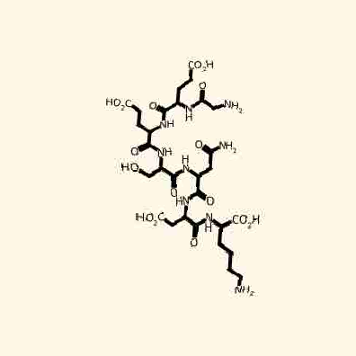 NCCCCC(NC(=O)C(CC(=O)O)NC(=O)C(CC(N)=O)NC(=O)C(CO)NC(=O)C(CCC(=O)O)NC(=O)C(CCC(=O)O)NC(=O)CN)C(=O)O